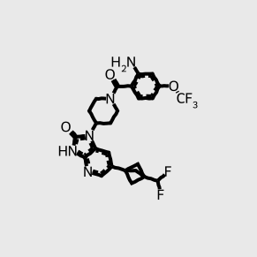 Nc1cc(OC(F)(F)F)ccc1C(=O)N1CCC(n2c(=O)[nH]c3ncc(C45CC(C(F)F)(C4)C5)cc32)CC1